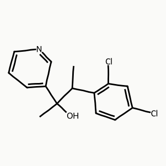 CC(c1ccc(Cl)cc1Cl)C(C)(O)c1cccnc1